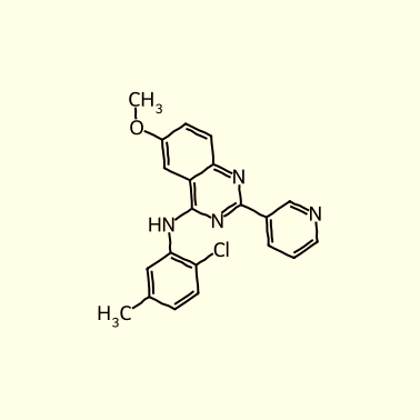 COc1ccc2nc(-c3cccnc3)nc(Nc3cc(C)ccc3Cl)c2c1